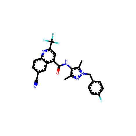 Cc1nn(Cc2ccc(F)cc2)c(C)c1NC(=O)c1cc(C(F)(F)F)nc2ccc(C#N)cc12